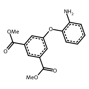 COC(=O)c1cc(Oc2ccccc2N)cc(C(=O)OC)c1